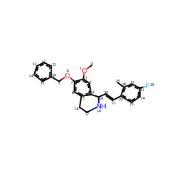 COc1cc2c(cc1OCc1ccccc1)CCNC2C=Cc1ccc(F)cc1C